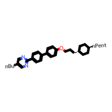 CCCCC[C@H]1CC[C@H](CCCOc2ccc(-c3ccc(-c4ncc(CCCC)cn4)cc3)cc2)CC1